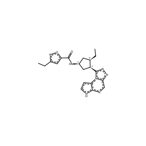 CCc1cc(C(=O)N[C@H]2C[C@@H](CC)[C@@H](c3nnc4cnc5[nH]ccc5n34)C2)on1